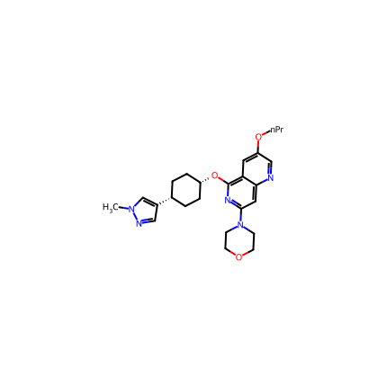 CCCOc1cnc2cc(N3CCOCC3)nc(O[C@H]3CC[C@@H](c4cnn(C)c4)CC3)c2c1